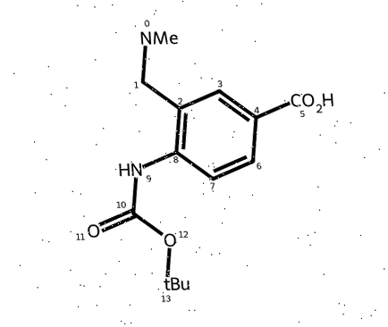 CNCc1cc(C(=O)O)ccc1NC(=O)OC(C)(C)C